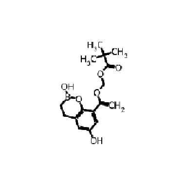 C=C(OCOC(=O)C(C)(C)C)c1cc(O)cc2c1OB(O)CC2